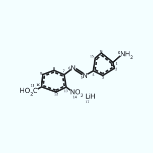 Nc1ccc(N=Nc2ccc(C(=O)O)cc2[N+](=O)[O-])cc1.[LiH]